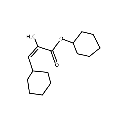 CC(=CC1CCCCC1)C(=O)OC1CCCCC1